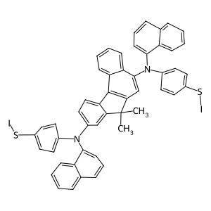 CC1(C)c2cc(N(c3ccc(SI)cc3)c3cccc4ccccc34)ccc2-c2c1cc(N(c1ccc(SI)cc1)c1cccc3ccccc13)c1ccccc21